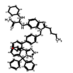 CCCCc1nc2ccc(NC(NC3CCCCC3)C(N)=O)cc2n1Cc1ccc(-c2ccccc2-c2nnnn2C(c2ccccc2)(c2ccccc2)c2ccccc2)cc1